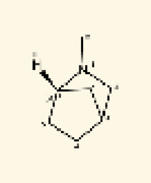 CN1CC2CC[C@H]1C2